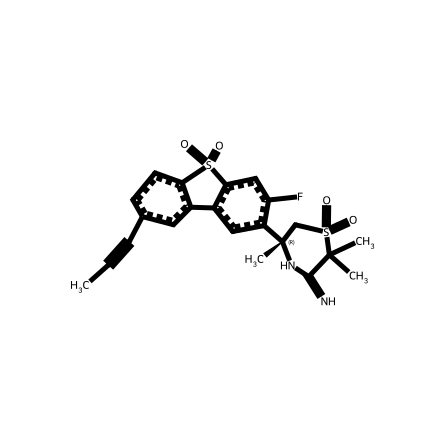 CC#Cc1ccc2c(c1)-c1cc([C@]3(C)CS(=O)(=O)C(C)(C)C(=N)N3)c(F)cc1S2(=O)=O